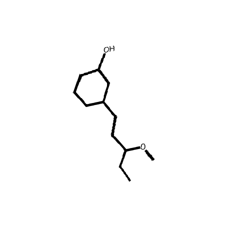 CCC(CCC1CCCC(O)C1)OC